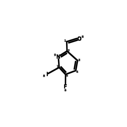 O=Cc1ccc(F)c(I)n1